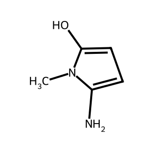 Cn1c(N)ccc1O